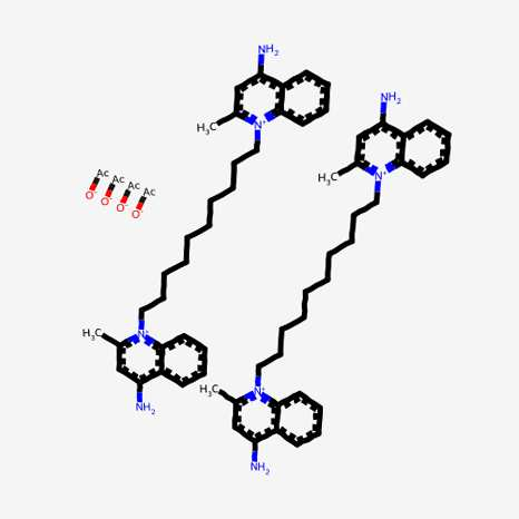 CC(=O)[O-].CC(=O)[O-].CC(=O)[O-].CC(=O)[O-].Cc1cc(N)c2ccccc2[n+]1CCCCCCCCCC[n+]1c(C)cc(N)c2ccccc21.Cc1cc(N)c2ccccc2[n+]1CCCCCCCCCC[n+]1c(C)cc(N)c2ccccc21